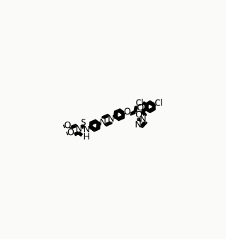 COC(CN(C(=S)Nc1ccc(N2CCN(c3ccc(OCC4COC(Cn5ccnc5)(c5ccc(Cl)cc5Cl)O4)cc3)CC2)cc1)C(C)C)OC